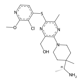 COc1nccc(Sc2nc(CO)c(N3CCC(C)([C@@H](C)N)CC3)nc2C)c1Cl